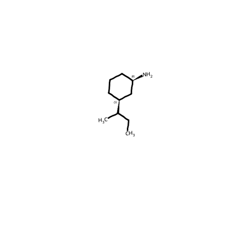 CCC(C)[C@H]1CCC[C@@H](N)C1